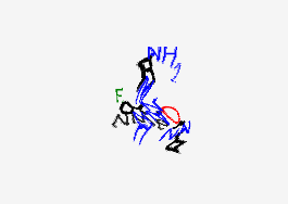 CNc1cc(F)cc2c1[nH]c1nc(Oc3cnc(C4CCC4)nc3)nc(N3CC4CC(N)C4C3)c12